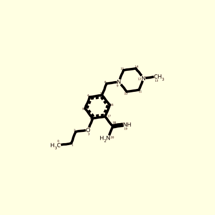 CCCOc1ccc(CN2CCN(C)CC2)cc1C(=N)N